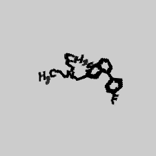 CCCN(CCC)Cc1cc2c(-c3ccc(F)cc3)cccc2s1